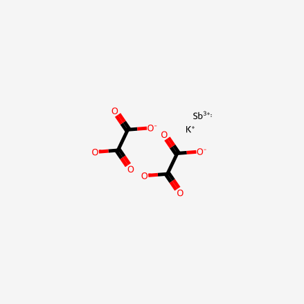 O=C([O-])C(=O)[O-].O=C([O-])C(=O)[O-].[K+].[Sb+3]